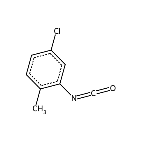 Cc1ccc(Cl)cc1N=C=O